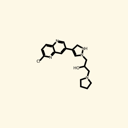 OC(CN1CCCC1)CN1C=C(c2cnc3ccc(Cl)nc3c2)CN1